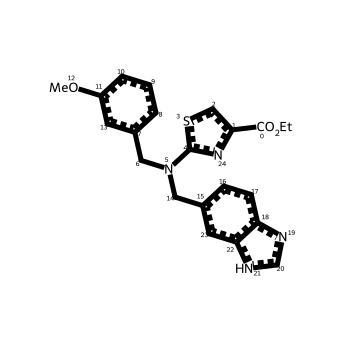 CCOC(=O)c1csc(N(Cc2cccc(OC)c2)Cc2ccc3nc[nH]c3c2)n1